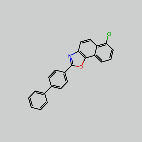 Clc1cccc2c1ccc1nc(-c3ccc(-c4ccccc4)cc3)oc12